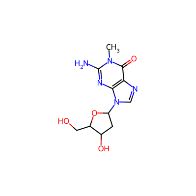 Cn1c(N)nc2c(ncn2C2CC(O)C(CO)O2)c1=O